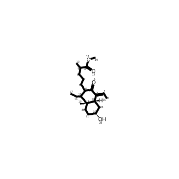 C/C=C1/C(=O)C(CCCC(C)C(=O)OC)C(CC)[C@@]2(C)CC[C@@H](O)C[C@@H]12